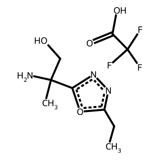 CCc1nnc(C(C)(N)CO)o1.O=C(O)C(F)(F)F